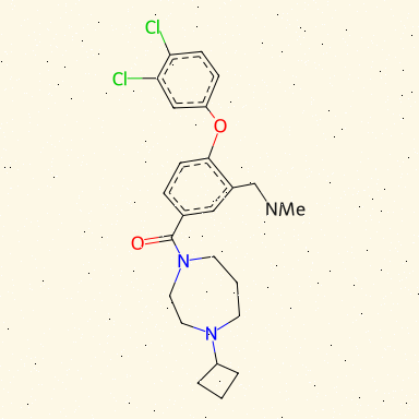 CNCc1cc(C(=O)N2CCCN(C3CCC3)CC2)ccc1Oc1ccc(Cl)c(Cl)c1